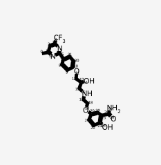 Cc1cc(C(F)(F)F)nc(-c2ccc(OCC(O)CNCCOc3ccc(O)c(C(N)=O)c3)cc2)n1